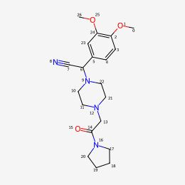 COc1ccc(C(C#N)N2CCN(CC(=O)N3CCCC3)CC2)cc1OC